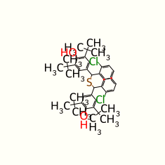 CC(C)(C)c1cc(C(SC(c2cc(C(C)(C)C)c(O)c(C(C)(C)C)c2)c2ccccc2Cl)c2ccccc2Cl)cc(C(C)(C)C)c1O